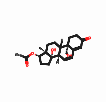 CC(C)(C)C(=O)O[C@H]1CC[C@]2(O)[C@@H]3C=CC4=CC(=O)CC[C@]4(CO)[C@H]3CC[C@]12C